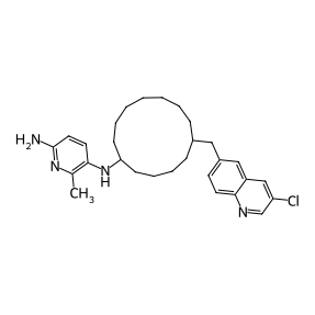 Cc1nc(N)ccc1NC1CCCCCCCC(Cc2ccc3ncc(Cl)cc3c2)CCCC1